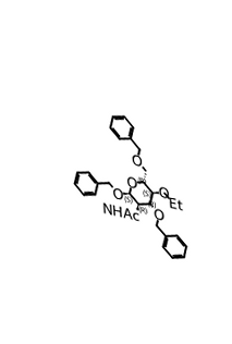 CCO[C@H]1[C@H](OCc2ccccc2)[C@@H](NC(C)=O)[C@@H](OCc2ccccc2)O[C@@H]1COCc1ccccc1